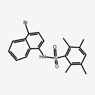 Cc1cc(C)c(C)c(S(=O)(=O)Nc2ccc(Br)c3ccccc23)c1C